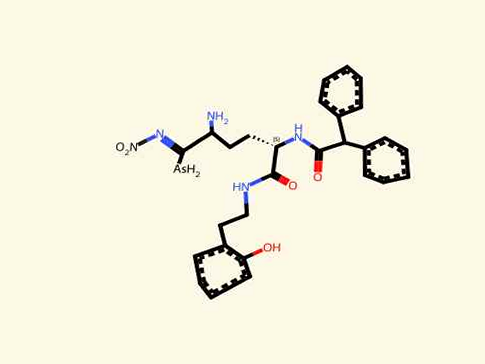 NC(CC[C@H](NC(=O)C(c1ccccc1)c1ccccc1)C(=O)NCCc1ccccc1O)C([AsH2])=N[N+](=O)[O-]